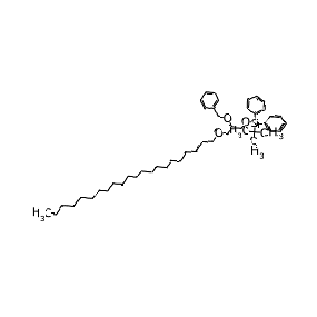 CCCCCCCCCCCCCCCCCCCCCCOC[C@H](CO[Si](c1ccccc1)(c1ccccc1)C(C)(C)C)OCc1ccccc1